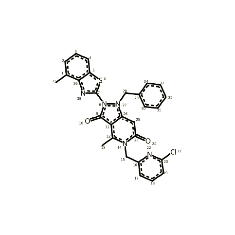 Cc1cccc2sc(-n3c(=O)c4c(C)n(Cc5cccc(Cl)n5)c(=O)cc4n3Cc3ccccc3)nc12